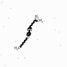 C=CCCCCCCCOc1ccc(-c2ncc(CCCCCC(C)CC)cn2)cc1